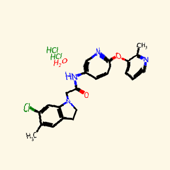 Cc1cc2c(cc1Cl)N(CC(=O)Nc1ccc(Oc3cccnc3C)nc1)CC2.Cl.Cl.O